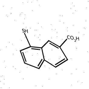 O=C(O)c1ccc2cccc(S)c2c1